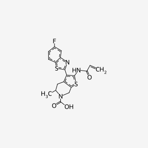 C=CC(=O)Nc1sc2c(c1-c1nc3cc(F)ccc3s1)CC(C)N(C(=O)O)C2